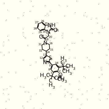 COc1c(C(C)(C)C)cc(-c2ncc(C3CCN(C(=O)Cn4c(=O)[nH]c5ccccc54)CC3)s2)cc1C(C)(C)C